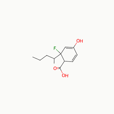 CCCC(C)C1(F)C=C(O)C=CC1C(=O)O